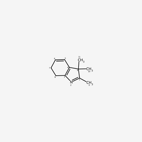 CC1=NC2=C(C=CCC2)C1(C)C